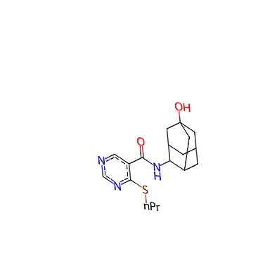 CCCSc1ncncc1C(=O)NC1C2CC3CC1CC(O)(C3)C2